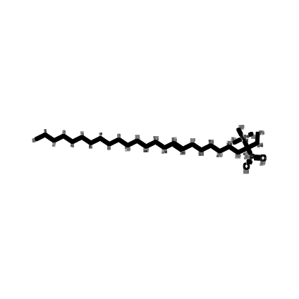 CCCCCCCCCCCCCCCC=CCCCCCCC(CC)(P(=O)=O)[N+](C)(C)C